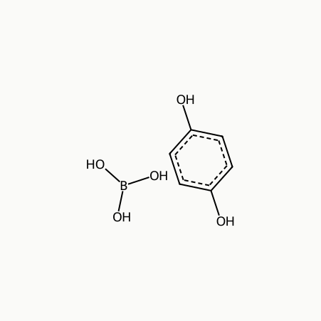 OB(O)O.Oc1ccc(O)cc1